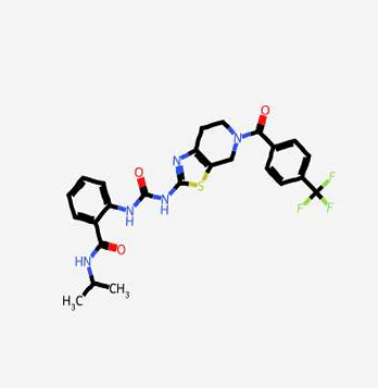 CC(C)NC(=O)c1ccccc1NC(=O)Nc1nc2c(s1)CN(C(=O)c1ccc(C(F)(F)F)cc1)CC2